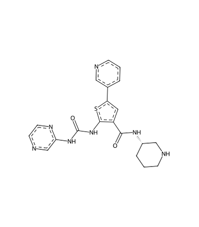 O=C(Nc1cnccn1)Nc1sc(-c2cccnc2)cc1C(=O)N[C@H]1CCCNC1